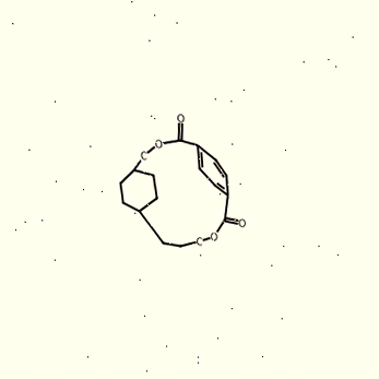 O=C1OCCCC2CCC(CC2)COC(=O)c2ccc1cc2